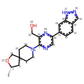 C[C@H]1CC2(CCN(c3ncc(-c4ccc5cn[nH]c5c4)nc3CO)CC2)CO1